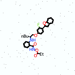 CCCC[C@@H](COc1ccc(-c2cc3ccccc3o2)c(F)c1)Nc1ccccc1C(=O)NOC(=O)CC